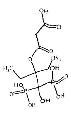 CCC(CC)(OC(=O)CC(=O)O)C(O)(P(=O)(O)O)P(=O)(O)O